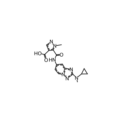 CN(c1nc2cc(NC(=O)c3c(C(=O)O)cnn3C)ccn2n1)C1CC1